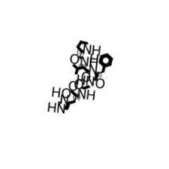 CC(C)[C@H](NC(=O)[C@@H]1CCCN1)C(=O)N[C@@H](Cc1ccccc1)C(=O)NCC(=O)N[C@@H](Cc1c[nH]cn1)C(=O)O